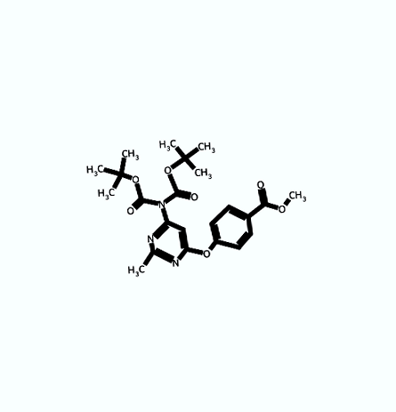 COC(=O)c1ccc(Oc2cc(N(C(=O)OC(C)(C)C)C(=O)OC(C)(C)C)nc(C)n2)cc1